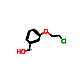 O[CH]c1cccc(OCCCl)c1